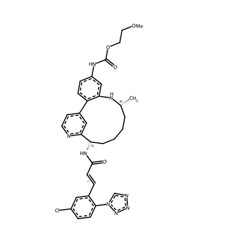 COCCOC(=O)Nc1ccc2c(c1)N[C@H](C)CCCC[C@H](NC(=O)/C=C/c1cc(Cl)ccc1-n1cnnn1)c1cc-2ccn1